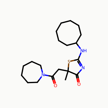 CC1(CC(=O)N2CCCCCC2)SC(NC2CCCCCCC2)=NC1=O